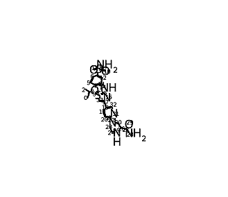 CC(C)Oc1ccc(S(N)(=O)=O)cc1Nc1nc(-c2ccc(N3CCNC(C(N)=O)C3)nc2)cs1